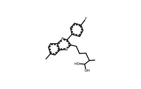 Cc1ccc2nc(-c3ccc(F)cc3)c(CCCC(C)C(O)O)nc2c1